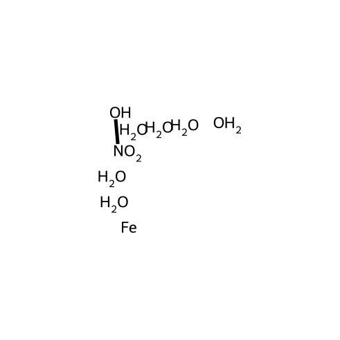 O.O.O.O.O.O.O=[N+]([O-])O.[Fe]